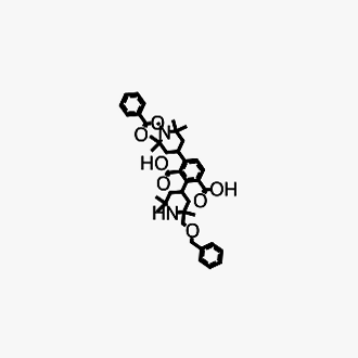 CC1(C)CC(c2c(C(=O)O)ccc(C3CC(C)(C)N(OC(=O)c4ccccc4)C(C)(C)C3)c2C(=O)O)CC(C)(COCc2ccccc2)N1